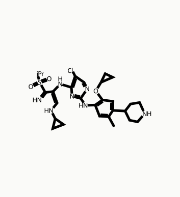 Cc1cc(Nc2ncc(Cl)c(N/C(=C/NC3CC3)C(=N)S(=O)(=O)C(C)C)n2)c(OC2CC2)cc1C1CCNCC1